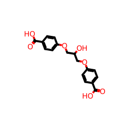 O=C(O)c1ccc(OCC(O)COc2ccc(C(=O)O)cc2)cc1